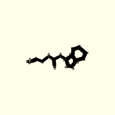 C=CCOC(=O)On1nnc2ccccc21